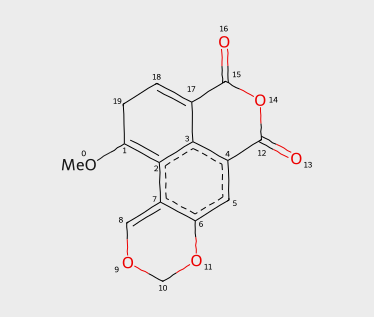 COC1=c2c3c(cc4c2=COCO4)C(=O)OC(=O)C3=CC1